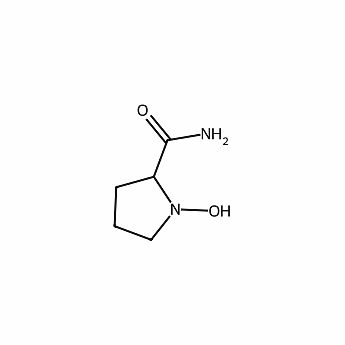 NC(=O)C1CCCN1O